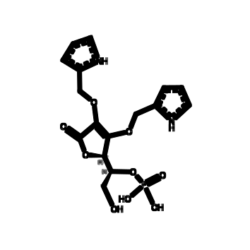 O=C1O[C@H]([C@H](CO)OP(=O)(O)O)C(OCc2ccc[nH]2)=C1OCc1ccc[nH]1